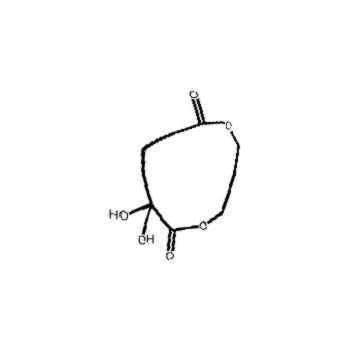 O=C1CCCC(O)(O)C(=O)OCCCO1